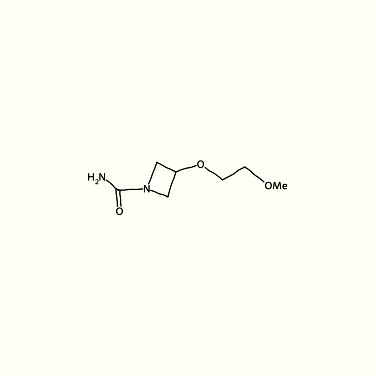 COCCOC1CN(C(N)=O)C1